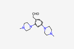 CN1CCN(c2ccc(CC=O)c(N3CCN(C)CC3)c2)CC1